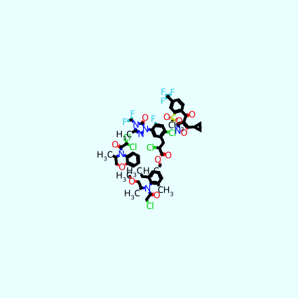 CC1COc2ccccc2N1C(=O)C(Cl)Cl.CCOC(=O)C(Cl)Cc1cc(-n2nc(C)n(C(F)F)c2=O)c(F)cc1Cl.CCc1cccc(C)c1N(C(=O)CCl)C(C)COC.CS(=O)(=O)c1cc(C(F)(F)F)ccc1C(=O)c1cnoc1C1CC1